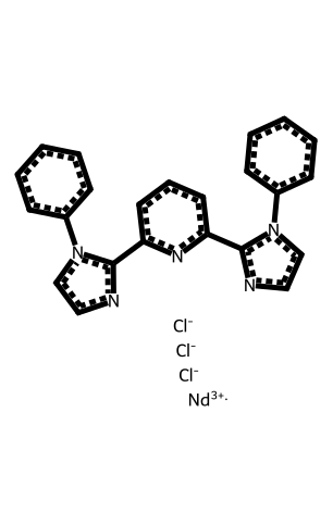 [Cl-].[Cl-].[Cl-].[Nd+3].c1ccc(-n2ccnc2-c2cccc(-c3nccn3-c3ccccc3)n2)cc1